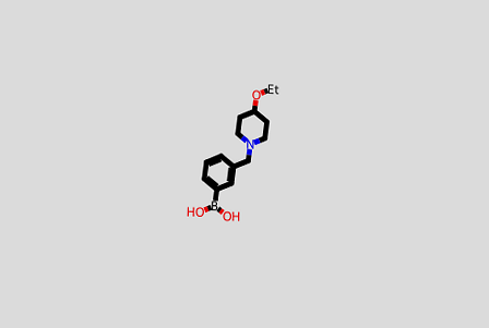 CCOC1CCN(Cc2cccc(B(O)O)c2)CC1